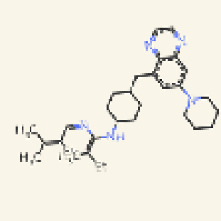 CCC(/C=N\C(N[C@H]1CC[C@@H](Cc2cc(N3CCCCC3)cc3nccnc23)CC1)=C(/C)CC)=C(C)C